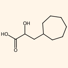 O=C(O)C(O)CC1CCCCCC1